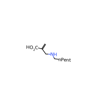 C=C(CNCCCCCC)C(=O)O